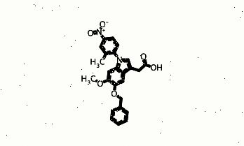 COc1cc2c(cc1OCc1ccccc1)c(CC(=O)O)cn2-c1ccc([N+](=O)[O-])cc1C